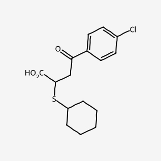 O=C(CC(SC1CCCCC1)C(=O)O)c1ccc(Cl)cc1